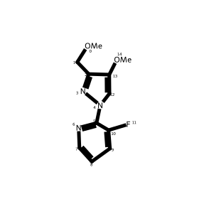 COCc1nn(-c2ncccc2F)cc1OC